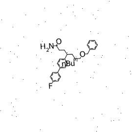 CCCC[C@@H](COCc1ccccc1)CC(CCC(N)=O)c1ccc(-c2ccc(F)cc2)cc1